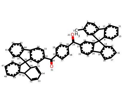 Cc1ccc2c(c1)C1(c3ccccc3-2)c2ccccc2-c2ccc(C(=O)c3ccc(C(=O)c4ccc5c(c4)C4(c6ccccc6-5)c5ccccc5C5C=CC=CC54)cc3)cc21